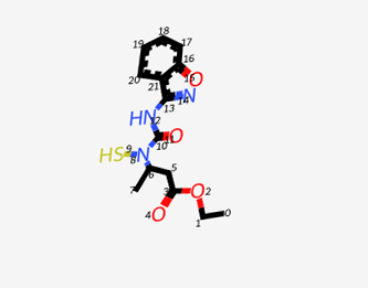 CCOC(=O)CC(C)N(S)C(=O)Nc1noc2ccccc12